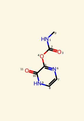 CNC(=O)Oc1ncc[nH]c1=O